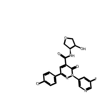 O=C(N[C@H]1COCC1O)c1cc(-c2ccc(Cl)cc2)nn(-c2cncc(F)c2)c1=O